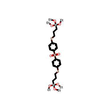 CCO[Si](CCCSc1ccc(S(=O)(=O)c2ccc(SCCC[Si](OCC)(OCC)OCC)cc2)cc1)(OCC)OCC